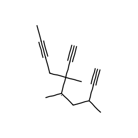 C#CC(C)C[C](C)C(C)(C#C)CC#CC